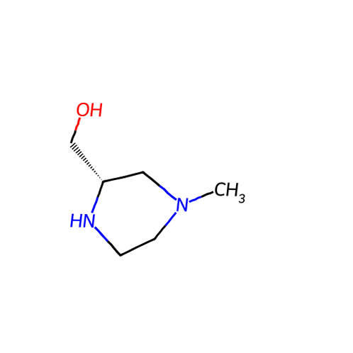 CN1CCN[C@H](CO)C1